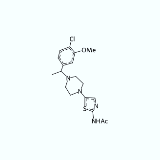 COc1cc(C(C)N2CCN(c3cnc(NC(C)=O)s3)CC2)ccc1Cl